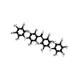 O=C(c1c(Br)c(Br)c(Oc2c(Br)c(Br)c(Br)c(Br)c2Br)c(Br)c1Br)c1c(Br)c(Br)c(Oc2c(Br)c(Br)c(Br)c(Br)c2Br)c(Br)c1Br